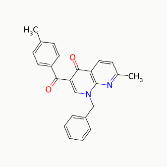 Cc1ccc(C(=O)c2cn(Cc3ccccc3)c3nc(C)ccc3c2=O)cc1